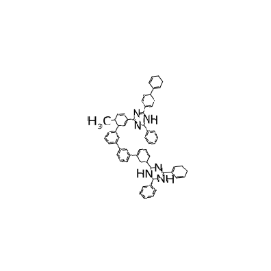 CC1C=CC(C2=NC(c3ccccc3)NC(C3=CCC(C4=CCCC=C4)C=C3)=N2)=CC1c1cccc(-c2cccc(C3=CC=CC(C4N=C(C5=CCCC=C5)NC(c5ccccc5)N4)C3)c2)c1